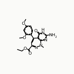 CCOC(=O)C1=NN(C)c2nc(N)[nH]c(=O)c2C(c2ccc(OC)cc2OC)=C1